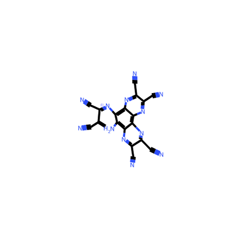 C=C(C#N)/C(C#N)=N\c1c(N)c2nc(C#N)c(C#N)nc2c2nc(C#N)c(C#N)nc12